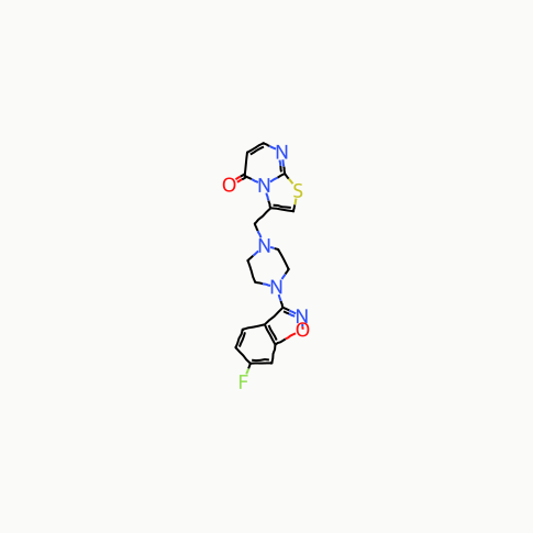 O=c1ccnc2scc(CN3CCN(c4noc5cc(F)ccc45)CC3)n12